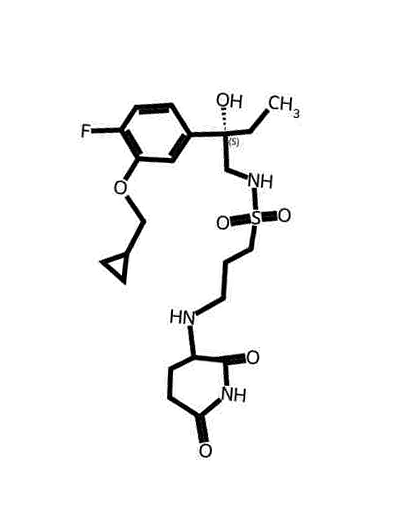 CC[C@@](O)(CNS(=O)(=O)CCCNC1CCC(=O)NC1=O)c1ccc(F)c(OCC2CC2)c1